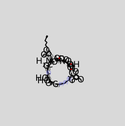 C#CCCCCO[C@@H]1CC[C@@H](C[C@@H](N)[C@@H]2CC(=O)[C@H](C)/C=C(\C)[C@@H](O)[C@@H](O)C(=O)[C@H](C)C[C@H](C)/C=C/C=C/C=C(\C)C(c3c(OC)cc(OC)cc3OC)C[C@@H]3CC[C@@H](C)[C@@](O)(O3)C(=O)C(=O)N3CCCC[C@H]3C(=O)O2)C[C@H]1OC